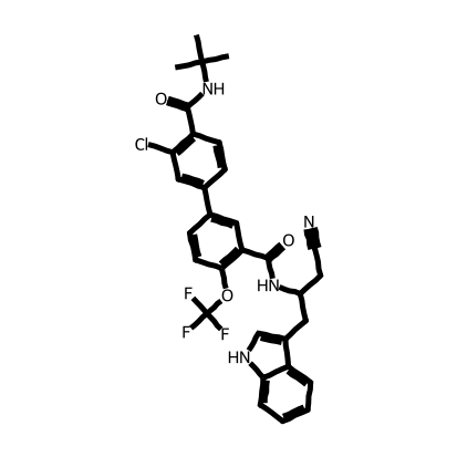 CC(C)(C)NC(=O)c1ccc(-c2ccc(OC(F)(F)F)c(C(=O)NC(CC#N)Cc3c[nH]c4ccccc34)c2)cc1Cl